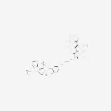 CN(CCCCCSc1ccc(Cl)c(COC2(c3cnccc3-c3ccccc3OC3CC3)CC2)c1)C(=O)[C@@H](O)[C@@H](O)[C@H](O)[C@@H](O)CO